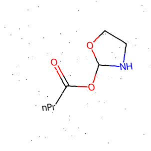 CCCC(=O)OC1NCCO1